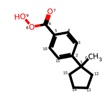 CC1(c2ccc(C(=O)OO)cc2)CCCC1